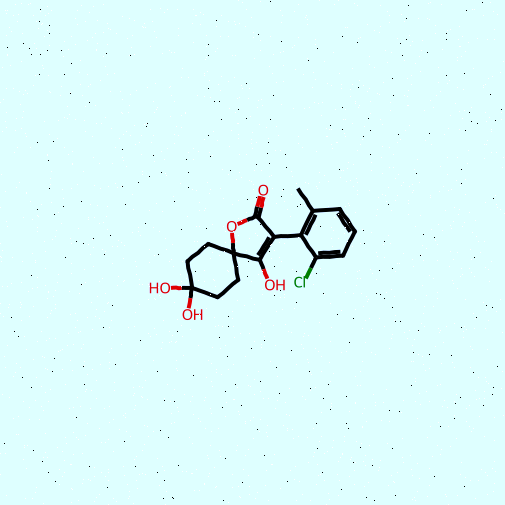 Cc1cccc(Cl)c1C1=C(O)C2(CCC(O)(O)CC2)OC1=O